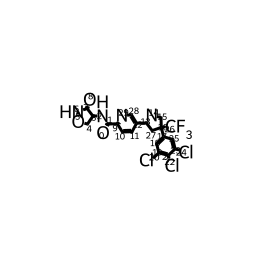 O=C(NC1CONC1=O)c1ccc(C2=NCC(c3cc(Cl)c(Cl)c(Cl)c3)(C(F)(F)F)C2)cn1